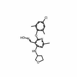 Cc1cc(NC2CCOC2)c(C=NO)c(Oc2c(C)cc(Cl)cc2C)n1